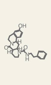 O=C1[C@H]2CCCN(C(=O)NCCc3ccccc3)[C@H]2C[C@@H]2c3ccc(O)cc3CCN12